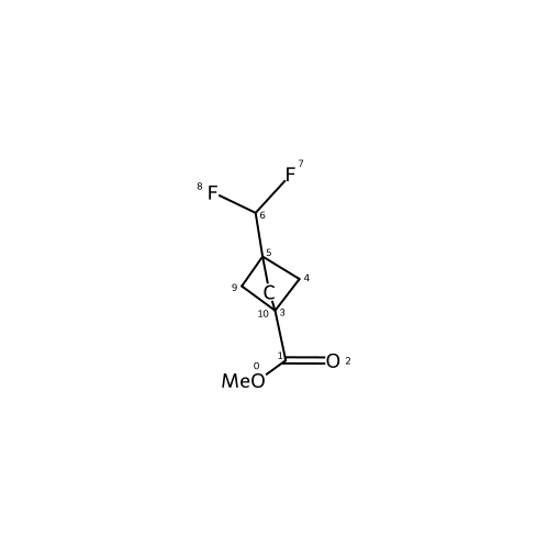 COC(=O)C12CC(C(F)F)(C1)C2